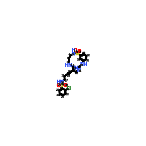 O=S1(=O)NCCCNc2nc(ncc2C#CCCNS(=O)(=O)c2ccccc2Cl)Nc2cccc1c2